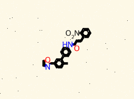 Cc1ccc(-c2ncco2)cc1-c1ccc(NC(=O)C=Cc2ccccc2[N+](=O)[O-])cc1